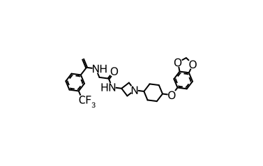 C=C(NCC(=O)NC1CN(C2CCC(Oc3ccc4c(c3)OCO4)CC2)C1)c1cccc(C(F)(F)F)c1